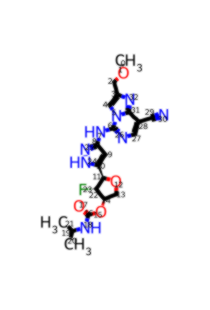 COCc1cn2c(Nc3cc([C@H]4OC[C@@H](OC(=O)NC(C)C)[C@@H]4F)[nH]n3)ncc(C#N)c2n1